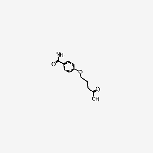 [NH]C(=O)c1ccc(OCCCC(=O)O)cc1